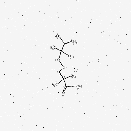 CC(C)C(C)(C)OOCC(C)(C)C(=O)O